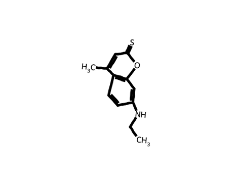 CCNc1ccc2c(C)cc(=S)oc2c1